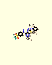 Cc1nc(Nc2ccc(S(=O)(=O)C(F)(F)F)cc2)c2nc(Nc3c(C)cccc3C)sc2n1